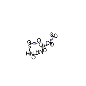 COC(=O)/C=C/C(=O)OCC(C)(C)[C@H]1OC(=O)/C=C/C(=O)SCCNC(=O)CCNC1=O